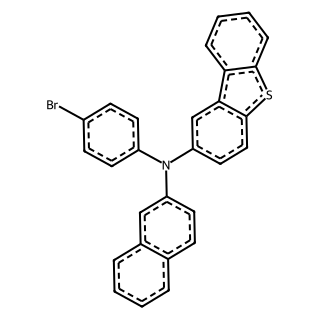 Brc1ccc(N(c2ccc3ccccc3c2)c2ccc3sc4ccccc4c3c2)cc1